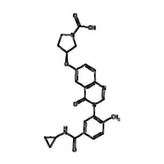 Cc1ccc(C(=O)NC2CC2)cc1-n1cnc2ccc(O[C@H]3CCN(C(=O)O)C3)cc2c1=O